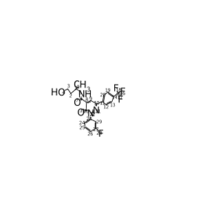 C[C@H](CCO)NC(=O)c1cc(-c2ccc(C(F)(F)F)cc2)nn(-c2cccc(F)c2)c1=O